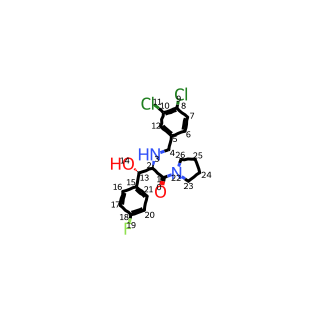 O=C([C@H](NCc1ccc(Cl)c(Cl)c1)[C@@H](O)c1ccc(F)cc1)N1CCCC1